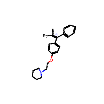 CC/C(C)=C(/c1ccccc1)c1ccc(OCCN2CCCCC2)cc1